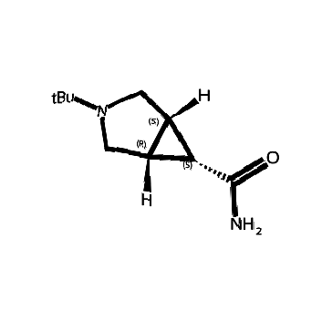 CC(C)(C)N1C[C@@H]2[C@H](C1)[C@@H]2C(N)=O